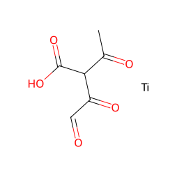 CC(=O)C(C(=O)O)C(=O)C=O.[Ti]